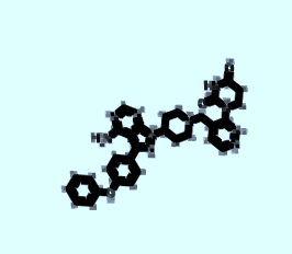 Nc1ncnc2c1c(-c1ccc(Oc3ccccc3)cc1)nn2C1CCN(Cc2ccnnc2N2CCC(=O)NC2=O)CC1